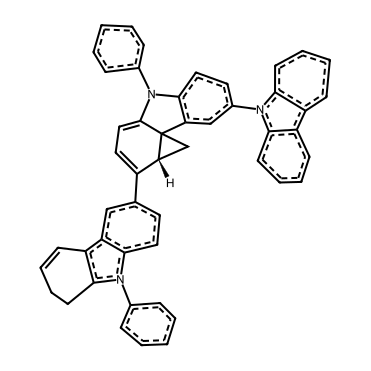 C1=Cc2c(n(-c3ccccc3)c3ccc(C4=CC=C5N(c6ccccc6)c6ccc(-n7c8ccccc8c8ccccc87)cc6C56C[C@H]46)cc23)CC1